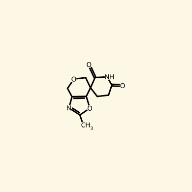 Cc1nc2c(o1)C1(CCC(=O)NC1=O)COC2